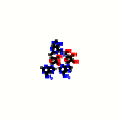 Nc1ncnc2c1ncn2[C@@H]1O[C@H](CO)[C@@H](O)[C@H]1O.Nc1ncnc2c1ncn2[C@@H]1O[C@H](Cc2nc(N)c3[nH]cnc3n2)[C@@H](O)[C@H]1O